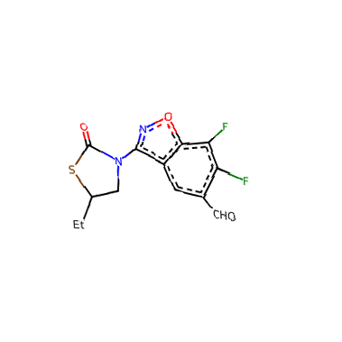 CCC1CN(c2noc3c(F)c(F)c(C=O)cc23)C(=O)S1